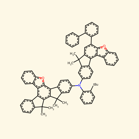 CC(C)(C)c1ccccc1N(c1ccc2c(c1)C(C)(C)c1cc(-c3ccccc3-c3ccccc3)c3oc4ccccc4c3c1-2)c1ccc2c(c1)C(C)(C)c1c3c(c4c(oc5ccccc54)c1-2)-c1ccccc1C3(C)C